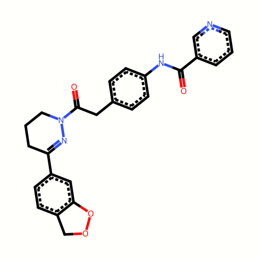 O=C(Nc1ccc(CC(=O)N2CCCC(c3ccc4c(c3)OOC4)=N2)cc1)c1cccnc1